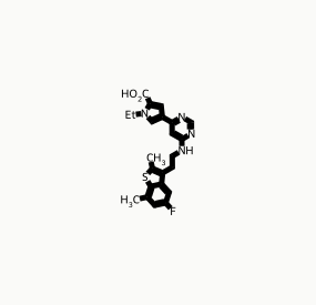 CCn1cc(-c2cc(NCCc3c(C)sc4c(C)cc(F)cc34)ncn2)cc1C(=O)O